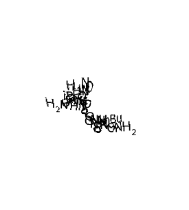 CCCCc1nc2c(NC(=O)OCc3ccc(NC(=O)[C@@H](CCCNC(N)=O)NC(=O)C(NC(=O)CON)C(C)C)cc3)nc3ccccc3c2n1CCOCCN